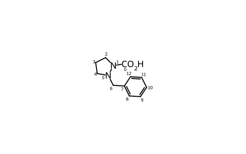 O=C(O)N1CCCN1Cc1ccccc1